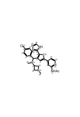 CC(=O)Nc1cc(-c2cc(C(c3ccc(Cl)cc3)N(C)C3CN(C)C3)c(-c3nnc[nH]3)s2)ccn1